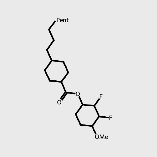 CCCC(C)CCCC1CCC(C(=O)OC2CCC(OC)C(F)C2F)CC1